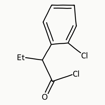 CCC(C(=O)Cl)c1ccccc1Cl